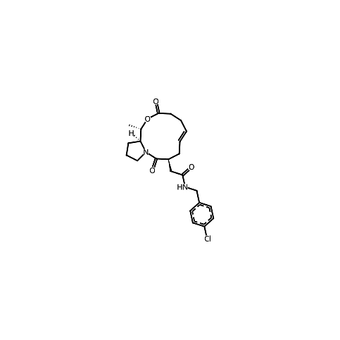 C[C@@H]1OC(=O)CC/C=C/C[C@@H](CC(=O)NCc2ccc(Cl)cc2)C(=O)N2CCC[C@@H]12